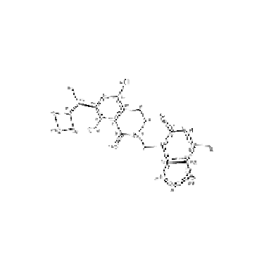 Cc1[nH]c(=O)c(CN2CCc3c(Cl)cc(C(C)C4COC4)c(Cl)c3C2=O)c2ncoc12